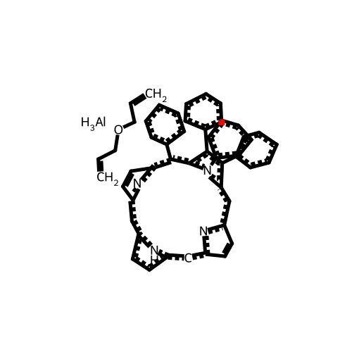 C1=Cc2cc3c(-c4ccccc4)c(-c4ccccc4)c(c(-c4ccccc4)c4nc(cc5ccc(cc1n2)[nH]5)C=C4)n3-c1ccccc1.C=CCOCC=C.[AlH3]